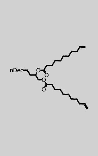 C=CCCCCCCCCC(=O)OCC(CCCCCCCCCCCC)OC(=O)CCCCCCCCC=C